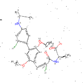 COc1cc(-c2ccc(NC(C)C)cc2F)c(OC)cc1/C=C(/F)C(=O)N[C@H](C)C(=O)O